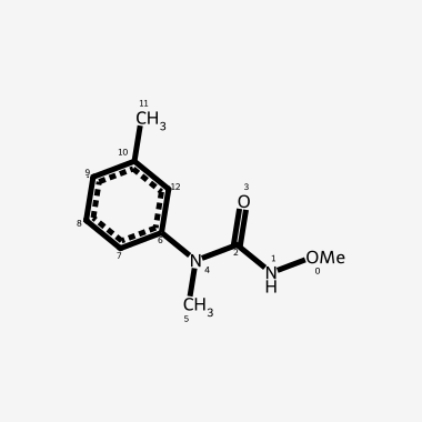 CONC(=O)N(C)c1cc[c]c(C)c1